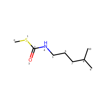 CSC(=O)NCCCC(C)C